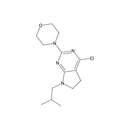 CC(C)CN1CCc2c(Cl)nc(N3CCOCC3)nc21